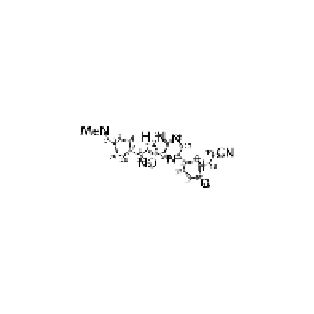 CNCc1ccc(-c2cc(-c3nc(-c4ccc(=O)n(CCC#N)c4)cnc3N)on2)cc1